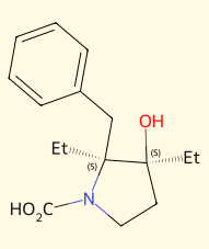 CC[C@]1(O)CCN(C(=O)O)[C@@]1(CC)Cc1ccccc1